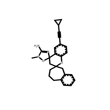 CN1OC2(CC3(CCCc4ccccc4C3)Oc3ccc(C#CC4CC4)cc32)N=C1N